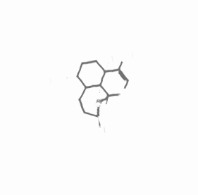 CC1=CO[C@@H]2O[C@@]3(C)CCC4[C@H](C)CC[C@@H]1[C@]42OO3